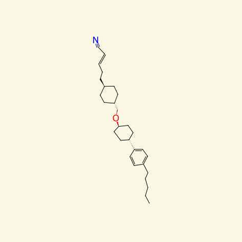 CCCCCc1ccc([C@H]2CC[C@H](OC[C@H]3CC[C@H](CC/C=C/C#N)CC3)CC2)cc1